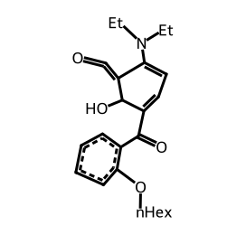 CCCCCCOc1ccccc1C(=O)C1=CC=C(N(CC)CC)C(=C=O)C1O